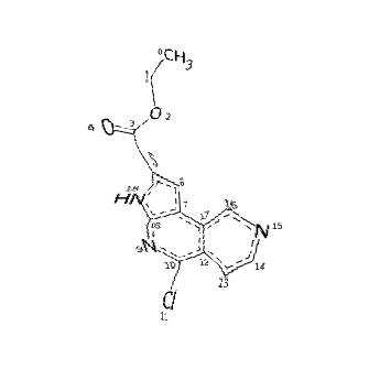 CCOC(=O)c1cc2c(nc(Cl)c3ccncc32)[nH]1